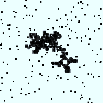 CSCC[C@H](NC(=O)[C@H](CC(C)C)NC(=O)[C@H](Cc1c[nH]cn1)NC(=O)CNC(=O)[C@@H](NC(=O)[C@H](C)NC(=O)[C@H](Cc1c[nH]c2ccccc12)NC(=O)[C@H](CCC(N)=O)NC(=O)C1CCN(C(=O)CNC(=O)CN2CCN(CC(=O)O)CCN(CC(=O)O)CCN(CC(=O)O)CC2)CC1)C(C)C)C(N)=O